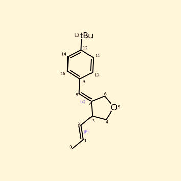 C/C=C/C1COC/C1=C\c1ccc(C(C)(C)C)cc1